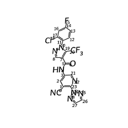 N#Cc1cc(NC(=O)c2cnn(-c3ccc(F)cc3Cl)c2C(F)(F)F)cnc1-n1nccn1